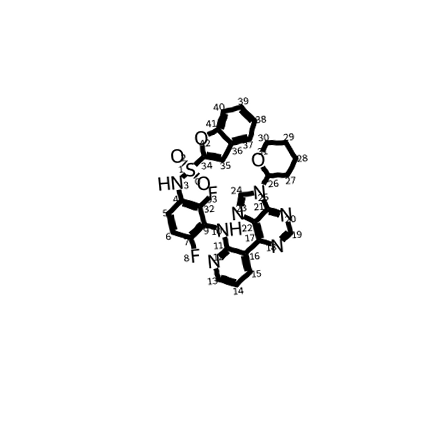 O=S(=O)(Nc1ccc(F)c(Nc2ncccc2-c2ncnc3c2ncn3C2CCCCO2)c1F)c1cc2ccccc2o1